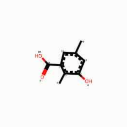 Cc1cc(O)c(C)c(C(=O)O)c1